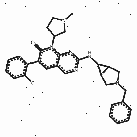 CN1CCC(n2c(=O)c(-c3ccccc3Cl)cc3cnc(NC4C5CN(Cc6ccccc6)CC54)nc32)C1